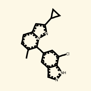 Cc1ccc2cc(C3CC3)nn2c1-c1cc(Cl)c2[nH]ncc2c1